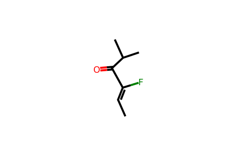 C/C=C(\F)C(=O)C(C)C